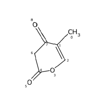 CC1=COC(=O)CC1=O